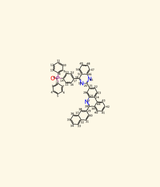 O=P(c1ccccc1)(c1ccccc1)c1ccc(-c2nc(-c3ccc4c(c3)nc(-c3ccc5ccccc5c3)c3ccccc34)nc3ccccc23)cc1